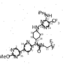 COc1ncc(-c2ccc(N(C(=O)NCC(F)F)C3CCC(Nc4ncc(C(F)(F)F)c(NC(C)C)n4)CC3)nc2)cn1